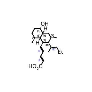 CC/C=C(\C)[C@H]1[C@@H](/C=C/C=C/C(=O)O)[C@H]2[C@@H](C[C@H]1C)[C@@H](O)CC[C@@H]2C